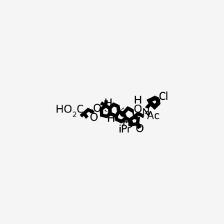 CC(=O)N(Cc1ccc(Cl)cc1)C[C@@H](O)[C@@]12CCC3(C)[C@H](CC[C@@H]4[C@@]5(C)CC[C@H](OC(=O)CC(C)(C)C(=O)O)C(C)(C)[C@@H]5CC[C@]43C)C1=C(C(C)C)C(=O)C2